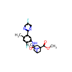 COC(=O)C12CC(C)CC(C1)N2C(=O)Nc1cc(-c2ncc(F)cn2)c(C)cc1F